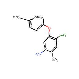 COc1ccc(Oc2cc(N)c([N+](=O)[O-])cc2Cl)cc1